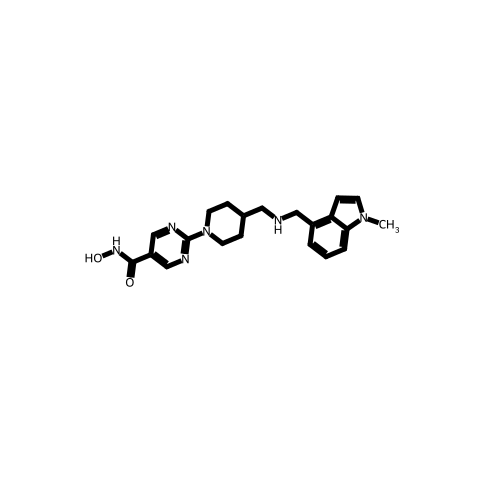 Cn1ccc2c(CNCC3CCN(c4ncc(C(=O)NO)cn4)CC3)cccc21